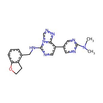 CN(C)c1ncc(-c2cnc(NCc3cccc4c3CCO4)n3cnnc23)cn1